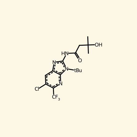 CC(C)(O)CC(=O)Nc1nc2cc(Cl)c(C(F)(F)F)nc2n1C(C)(C)C